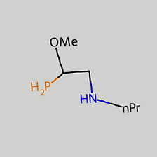 CCCNCC(P)OC